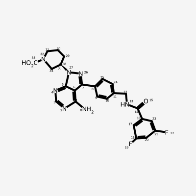 Nc1ncnc2c1c(-c1ccc(CNC(=O)c3cc(F)cc(F)c3)cc1)nn2[C@@H]1CCCN(C(=O)O)C1